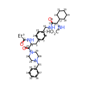 CCC(=O)NC(Cc1ccc(CNC(=O)[C@@H](NC(=O)O)C2CCCCC2)cc1)C(=O)N1CCN(Cc2ccccc2)CC1